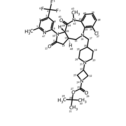 Cc1cc(C(F)(F)F)cc(N2C(=O)C[C@@H]3CN(CC4CCN(C5CN(C(=O)OC(C)(C)C)C5)CC4)c4c(Cl)cccc4N(C)C(=O)[C@H]32)n1